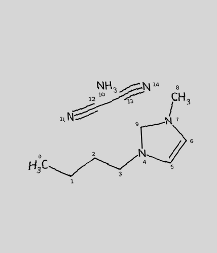 CCCCN1C=CN(C)C1.N.N#CC#N